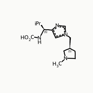 CC(C)[C@H](NC(=O)O)c1cn(C[C@H]2CCN(C)C2)cn1